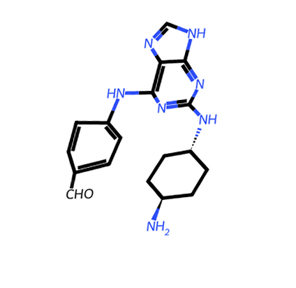 N[C@H]1CC[C@H](Nc2nc(Nc3ccc(C=O)cc3)c3nc[nH]c3n2)CC1